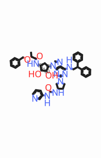 CC(OCc1ccccc1)C(=O)N[C@H]1C[C@@H](n2cnc3c(NCC(c4ccccc4)c4ccccc4)nc(N4CCC(NC(=O)Nc5cccnc5)C4)nc32)[C@H](O)[C@@H]1O